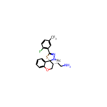 CC(=O)N1N=C(c2cc(C(F)(F)F)ccc2F)S[C@]12c1ccccc1OC[C@H]2CCN